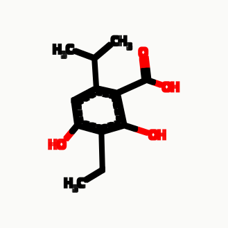 CCc1c(O)cc(C(C)C)c(C(=O)O)c1O